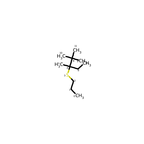 CCCSC(C)(CC)C(C)(C)C